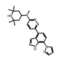 CN(c1ccc(-c2ccc(-n3cccn3)c3[nH]ncc23)nn1)C1CC(C)(C)NC(C)(C)C1